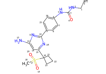 CC(C)CNC(=O)Nc1ccc(-c2nc(N)cc(C3(S(C)(=O)=O)CCC3)n2)cc1